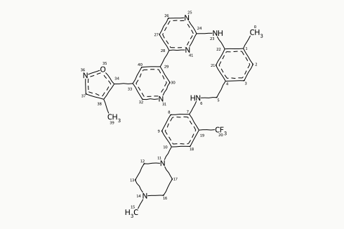 Cc1ccc(CNc2ccc(N3CCN(C)CC3)cc2C(F)(F)F)cc1Nc1nccc(-c2cncc(-c3oncc3C)c2)n1